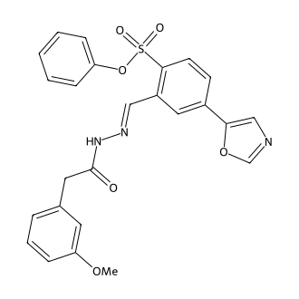 COc1cccc(CC(=O)NN=Cc2cc(-c3cnco3)ccc2S(=O)(=O)Oc2ccccc2)c1